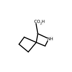 O=C(O)[C]1NCC12CCC2